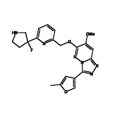 COc1cc2nnc(-c3coc(C)c3)n2nc1OCc1cccc(C2(F)CCNC2)n1